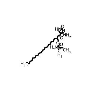 CCCCCCCCCCCCCCCCCCCC(COC(=O)[C@@H](N)[C@@H](C)CC)CC(=O)c1c[nH]c(=O)nc1N